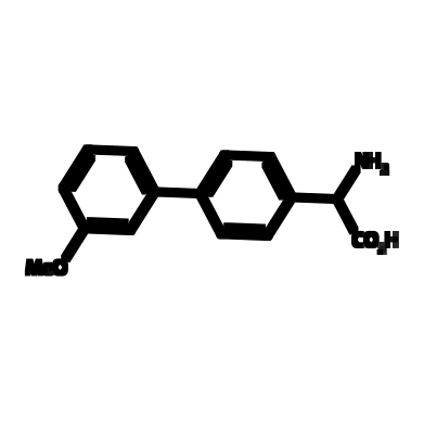 COc1cccc(-c2ccc(C(N)C(=O)O)cc2)c1